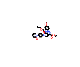 CCCOCCNC12C(=O)N(c3ccc(N4CCCCC4=O)cc3)CCC1C(C(=O)OCC)=NN2c1ccc(OC)cc1